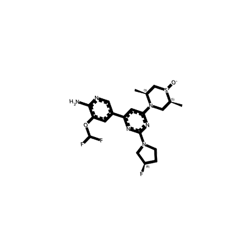 C[C@H]1C[S+]([O-])[C@@H](C)CN1c1cc(-c2cnc(N)c(OC(F)F)c2)nc(N2CC[C@@H](F)C2)n1